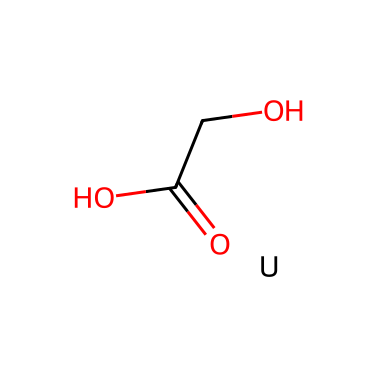 O=C(O)CO.[U]